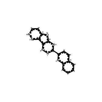 c1ccc2nc(-c3nnc4c(n3)oc3ccnnc34)ccc2c1